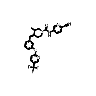 CC1CN(C(=O)Nc2ccc(C#N)nc2)CCC1=Cc1cccc(Oc2ccc(C(F)(F)F)cn2)c1